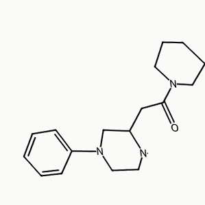 O=C(CC1CN(c2ccccc2)CC[N]1)N1CCCCC1